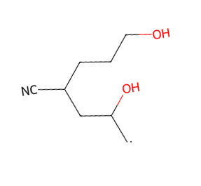 [CH2]C(O)CC(C#N)CCCO